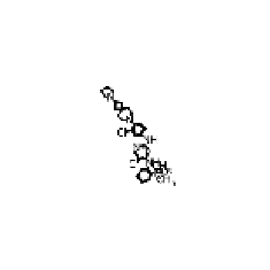 CP(C)(=O)c1ccccc1Nc1nc(Nc2ccc(N3CCC4(CC3)CC(N3CCCC3)C4)c(Cl)c2)ncc1Cl